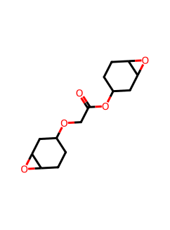 O=C(COC1CCC2OC2C1)OC1CCC2OC2C1